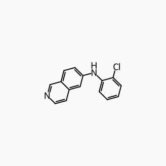 Clc1ccccc1Nc1ccc2cnccc2c1